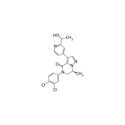 CC(O)c1cc(-c2cnn3c2C(=O)N(c2ccc(Cl)c(Cl)c2)C[C@@H]3C)ccn1